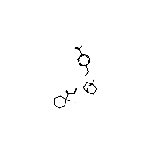 CC1(C(=O)/C=C/[C@@H]2[C@H](CCc3ccc(C(=O)O)cc3)[C@@H]3CC[C@H]2O3)CCCCC1